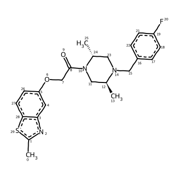 Cc1nc2cc(OCC(=O)N3C[C@H](C)N(Cc4ccc(F)cc4)C[C@H]3C)ccc2s1